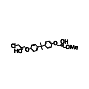 COC[C@H](O)COc1ccc(C(C)(C)c2ccc(OC[C@H](O)CCl)cc2)cc1